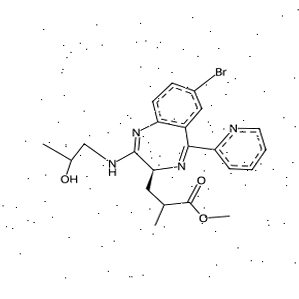 COC(=O)C(C)C[C@@H]1N=C(c2ccccn2)c2cc(Br)ccc2N=C1NCC(C)O